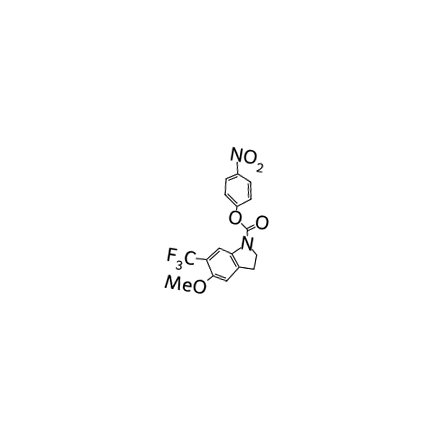 COc1cc2c(cc1C(F)(F)F)N(C(=O)Oc1ccc([N+](=O)[O-])cc1)CC2